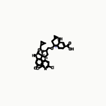 N=C1C=C(C(=O)O)C=C/C1=C(/CC1=CC1)OCC1C[C@H](c2cc(Cl)nc(Cl)c2)[C@]2(C(=O)Nc3cc(Cl)ccc32)N1CC1CC1